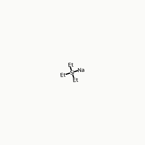 CC[Si]([Na])(CC)CC